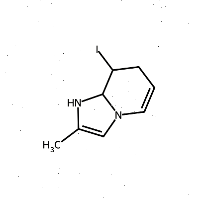 CC1=CN2C=CCC(I)C2N1